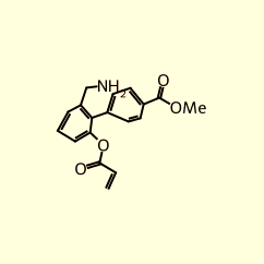 C=CC(=O)Oc1cccc(CN)c1-c1ccc(C(=O)OC)cc1